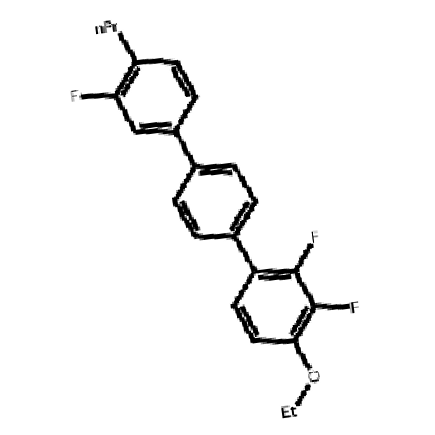 CCCc1ccc(-c2ccc(-c3ccc(OCC)c(F)c3F)cc2)cc1F